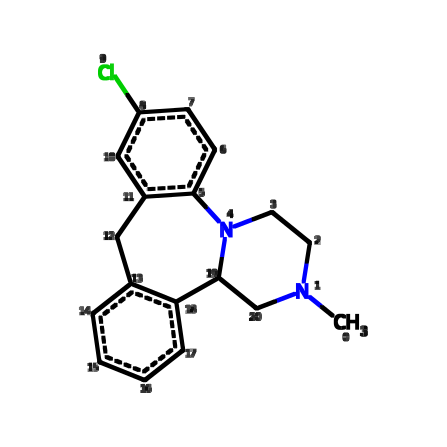 CN1CCN2c3ccc(Cl)cc3Cc3ccccc3C2C1